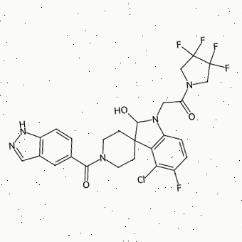 O=C(CN1c2ccc(F)c(Cl)c2C2(CCN(C(=O)c3ccc4[nH]ncc4c3)CC2)C1O)N1CC(F)(F)C(F)(F)C1